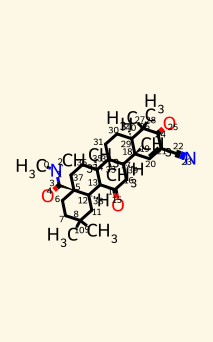 CN(C)C(=O)[C@]12CCC(C)(C)C[C@@H]1C1C(=O)C[C@@H]3[C@@]4(C)C=C(C#N)C(=O)C(C)(C)[C@@H]4CC[C@@]3(C)[C@]1(C)CC2